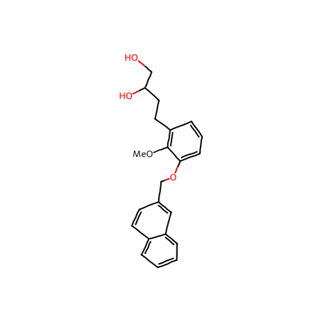 COc1c(CCC(O)CO)cccc1OCc1ccc2ccccc2c1